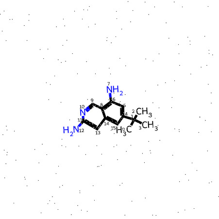 CC(C)(C)c1cc(N)c2cnc(N)cc2c1